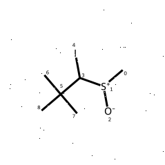 C[S+]([O-])C(I)C(C)(C)C